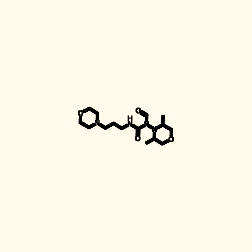 CC1COCC(C)N1N(C=O)C(=O)NCCCN1CCOCC1